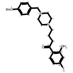 COc1ccc(CN2CCN(CCCC(=O)c3ccc(F)cc3N)CC2)cc1